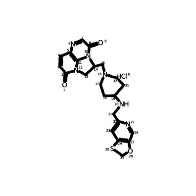 Cl.O=c1ccc2ncc(=O)n3c2n1CC3CN1CCC(NCc2cc3c(cn2)OCS3)CC1